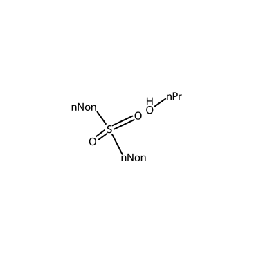 CCCCCCCCCS(=O)(=O)CCCCCCCCC.CCCO